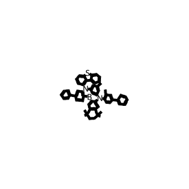 Cc1cc2c3c(c1)N(c1cccc4sc5ccccc5c14)c1cc(-c4ccccc4)ccc1B3c1cc3c(cc1N2c1ccc(-c2ccccc2)cc1C)C(C)(C)CCC3(C)C